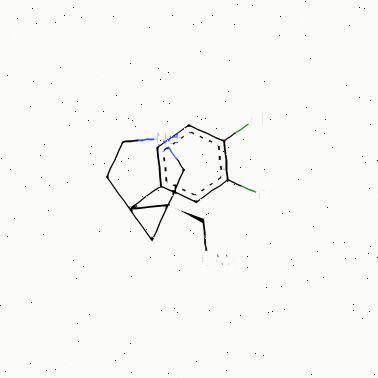 COC[C@]12CNCCC1(c1ccc(Cl)c(Cl)c1)C2